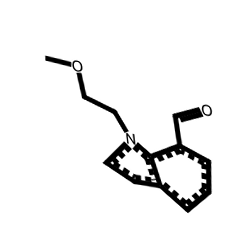 COCCn1ccc2cccc(C=O)c21